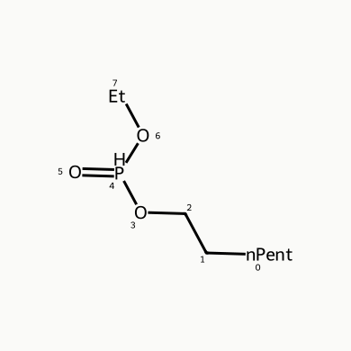 CCCCCCCO[PH](=O)OCC